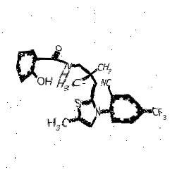 CC1=CN(c2ccc(C(F)(F)F)cc2C#N)C(=CC(C)(C)CNC(=O)c2ccccc2O)S1